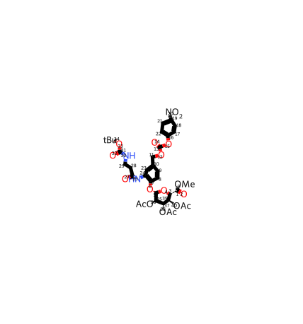 COC(=O)[C@H]1O[C@@H](Oc2ccc(COC(=O)Oc3ccc([N+](=O)[O-])cc3)cc2NC(=O)CCNC(=O)OC(C)(C)C)[C@H](OC(C)=O)[C@@H](OC(C)=O)[C@@H]1OC(C)=O